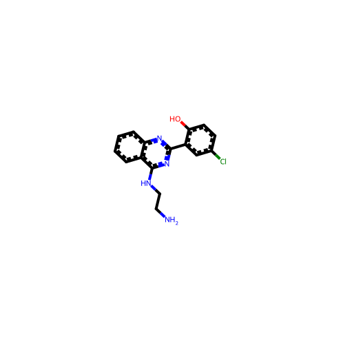 NCCNc1nc(-c2cc(Cl)ccc2O)nc2ccccc12